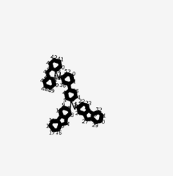 c1cc(-c2ccc(N(c3ccc4c(c3)Cc3ccccc3-4)c3ccc4c(c3)Cc3ccccc3-4)cc2)cc(N2c3ccccc3Cc3ccccc32)c1